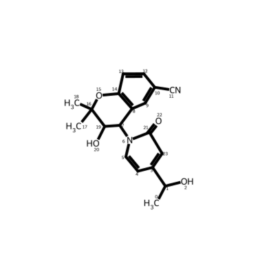 CC(O)c1ccn(C2c3cc(C#N)ccc3OC(C)(C)C2O)c(=O)c1